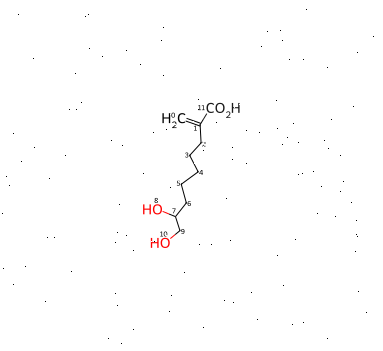 C=C(CCCCCC(O)CO)C(=O)O